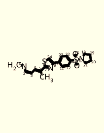 C=N/C=C\C=C(/C)c1nc(-c2ccc(S(=O)(=O)N3CCCC3)cc2)cs1